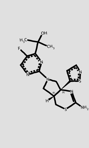 CC(C)(O)c1nc(N2C[C@H]3CSC(N)=N[C@@]3(c3ccns3)C2)ncc1F